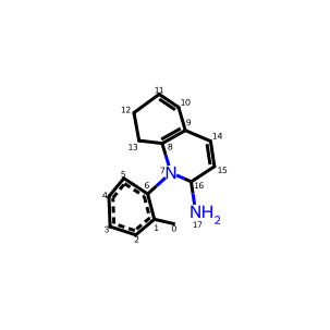 Cc1ccccc1N1C2=C(C=CCC2)C=CC1N